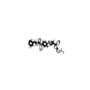 C=COC(=O)c1cnn(-c2ccc(NC(=O)OCc3ccccc3)cc2F)c1